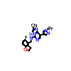 CC(C)n1cc(-c2cnc(NCc3c(F)ccc4c3CCO4)n3cc(C#N)nc23)cn1